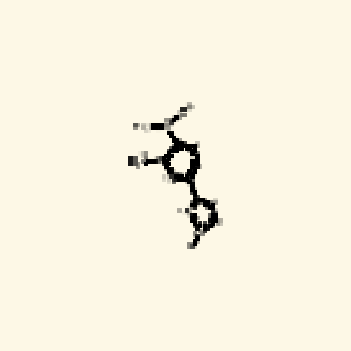 Cn1ccc(-c2ccc([N+](=O)[O-])c(N)n2)n1